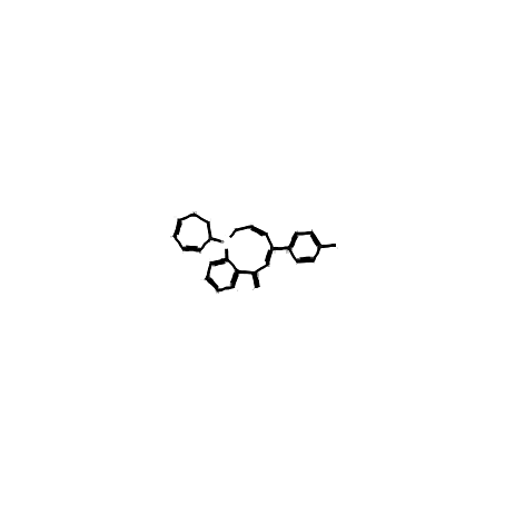 C=C1/C=C(c2ccc(C)cc2)\C=C/CN(C2C=CC=CCC2)c2ccccc21